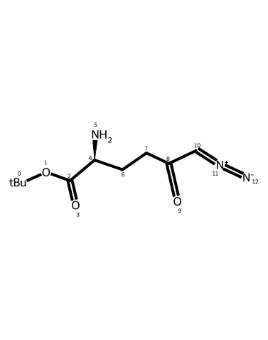 CC(C)(C)OC(=O)[C@@H](N)CCC(=O)C=[N+]=[N-]